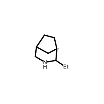 CCC1NCC2CC[C]1C2